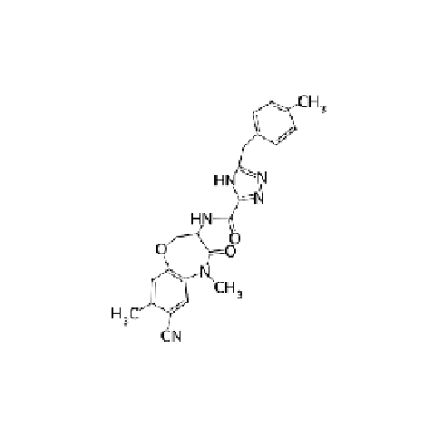 Cc1ccc(Cc2nnc(C(=O)NC3COc4cc(C)c(C#N)cc4N(C)C3=O)[nH]2)cc1